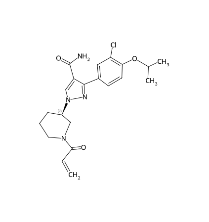 C=CC(=O)N1CCC[C@@H](n2cc(C(N)=O)c(-c3ccc(OC(C)C)c(Cl)c3)n2)C1